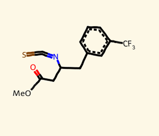 COC(=O)CC(Cc1cccc(C(F)(F)F)c1)N=C=S